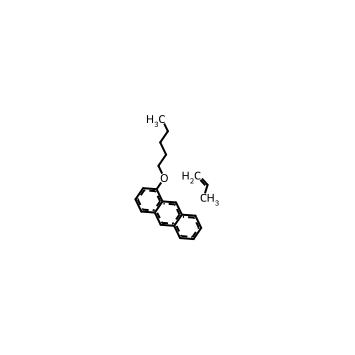 C=CC.CCCCCOc1cccc2cc3ccccc3cc12